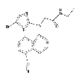 CCNC(=O)CSc1ncc(Br)n1-c1ccc(C#N)c2ccccc12